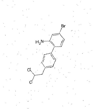 Nc1cc(Br)ccc1-c1ccc(CC(Cl)Cl)cc1